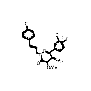 COC1C(=O)N(CC=Cc2ccc(Cl)cc2)N=C(c2ccc(F)c(C)c2)C1=C=O